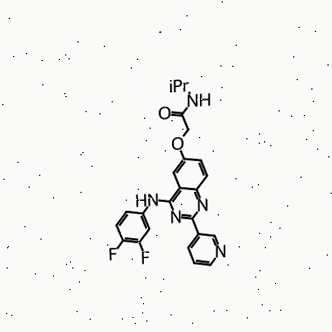 CC(C)NC(=O)COc1ccc2nc(-c3cccnc3)nc(Nc3ccc(F)c(F)c3)c2c1